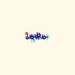 COC[C@@H]1CCCN1c1cc(C(F)(F)F)c(-c2cnc3c(Nc4ccc(C(F)(F)F)cn4)ccnc3n2)nn1